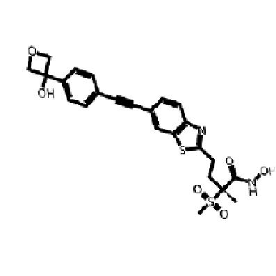 C[C@@](CCc1nc2ccc(C#Cc3ccc(C4(O)COC4)cc3)cc2s1)(C(=O)NO)S(C)(=O)=O